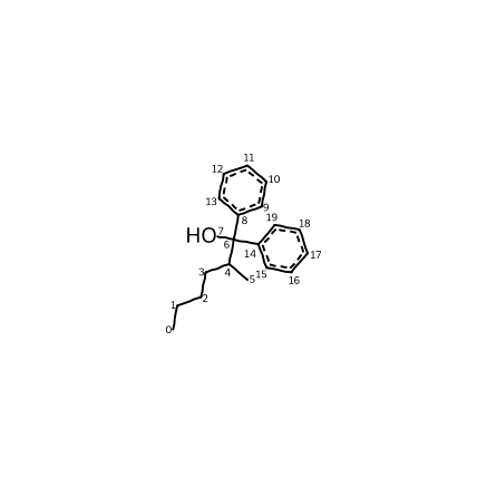 CCCCC(C)C(O)(c1ccccc1)c1ccccc1